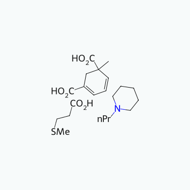 CC1(C(=O)O)C=CC=C(C(=O)O)C1.CCCN1CCCCC1.CSCCC(=O)O